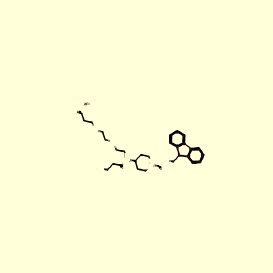 CC(C)(C)OC(=O)CCOCCOCCN(C(=O)CCC(=O)O)C1CCN(C(=O)OCC2c3ccccc3-c3ccccc32)CC1